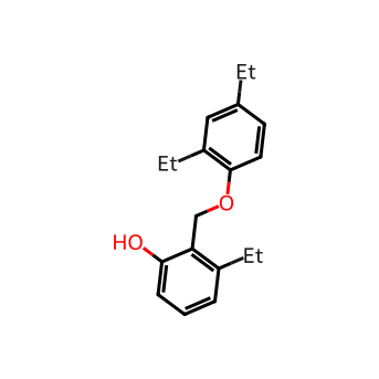 CCc1ccc(OCc2c(O)cccc2CC)c(CC)c1